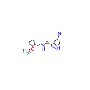 COc1ccccc1CCNC1CC1c1c[nH]c2ccc(C#N)cc12